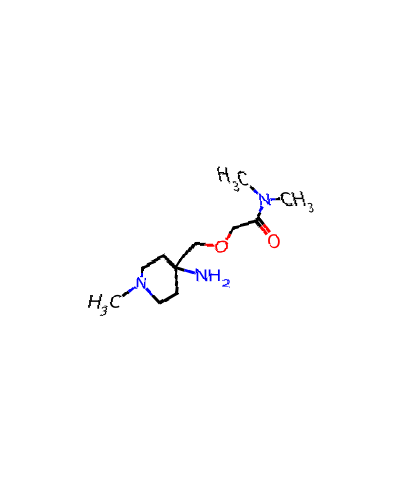 CN1CCC(N)(COCC(=O)N(C)C)CC1